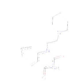 O=c1[nH]c(=O)n(CCN2CCCCC2)c2ccccc12